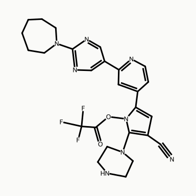 N#Cc1cc(-c2ccnc(-c3cnc(N4CCCCCC4)nc3)c2)n(OC(=O)C(F)(F)F)c1N1CCNCC1